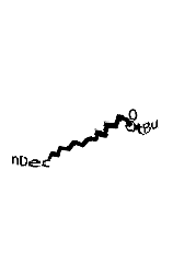 CCCCCCCCCCCCCCCCCCCCCCCC(=O)OC(C)(C)C